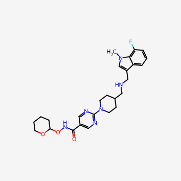 Cn1cc(CNCC2CCN(c3ncc(C(=O)NOC4CCCCO4)cn3)CC2)c2cccc(F)c21